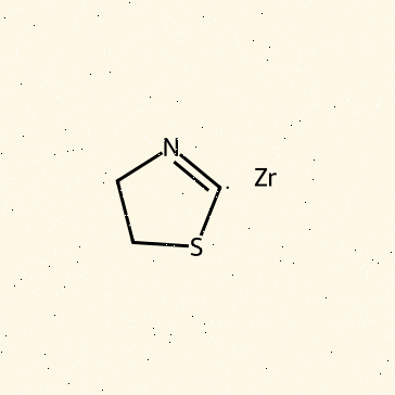 [C]1=NCCS1.[Zr]